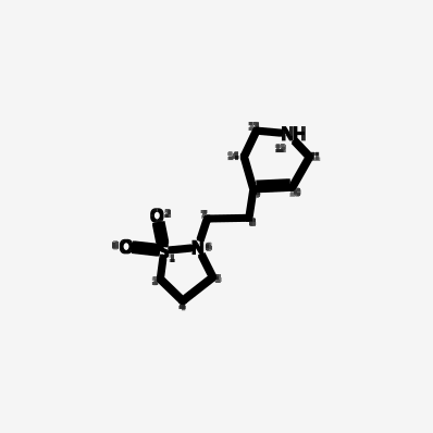 O=S1(=O)CCCN1CCC1=CCNCC1